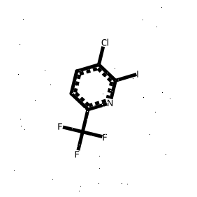 FC(F)(F)c1ccc(Cl)c(I)n1